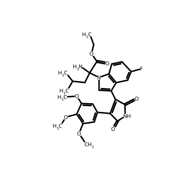 CCOC(=O)C(N)(CC(C)C)n1cc(C2=C(c3cc(OC)c(OC)c(OC)c3)C(=O)NC2=O)c2cc(F)ccc21